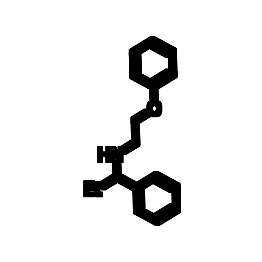 CCC(NCCOc1ccccc1)c1ccccc1